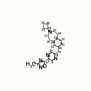 Cc1noc(-c2cnc(Cc3ccc4c(c3)CCN(C3CCC3)CC4)cn2)n1